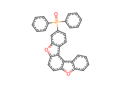 O=P(c1ccccc1)(c1ccccc1)c1ccc2c(c1)oc1ccc3oc4ccccc4c3c12